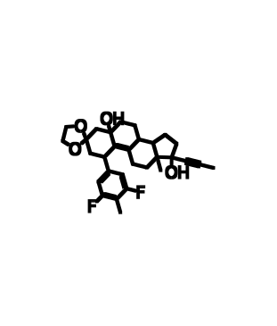 CC#CC1(O)CCC2C3CCC4(O)CC5(CC(c6cc(F)c(C)c(F)c6)C4=C3CCC21C)OCCO5